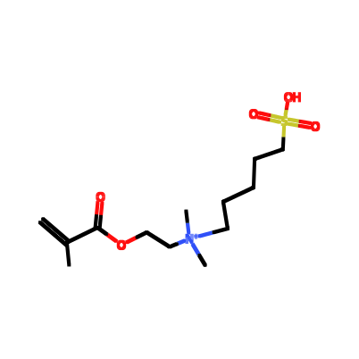 C=C(C)C(=O)OCC[N+](C)(C)CCCCCS(=O)(=O)O